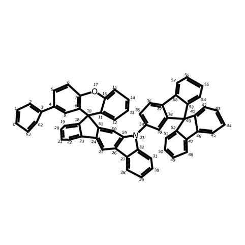 c1ccc(-c2ccc3c(c2)C2(c4ccccc4O3)c3ccccc3-c3cc4c5ccccc5n(-c5ccc6c(c5)C5(c7ccccc7-c7ccccc75)c5ccccc5-6)c4cc32)cc1